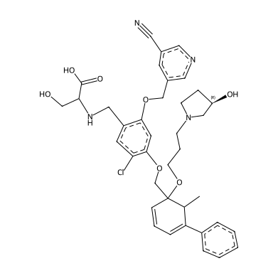 CC1C(c2ccccc2)=CC=CC1(COc1cc(OCc2cncc(C#N)c2)c(CNC(CO)C(=O)O)cc1Cl)OCCCN1CC[C@@H](O)C1